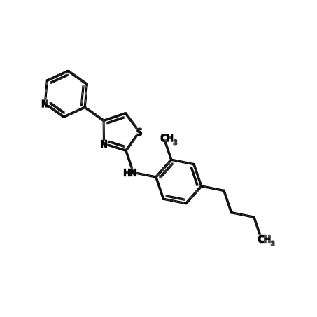 CCCCc1ccc(Nc2nc(-c3cccnc3)cs2)c(C)c1